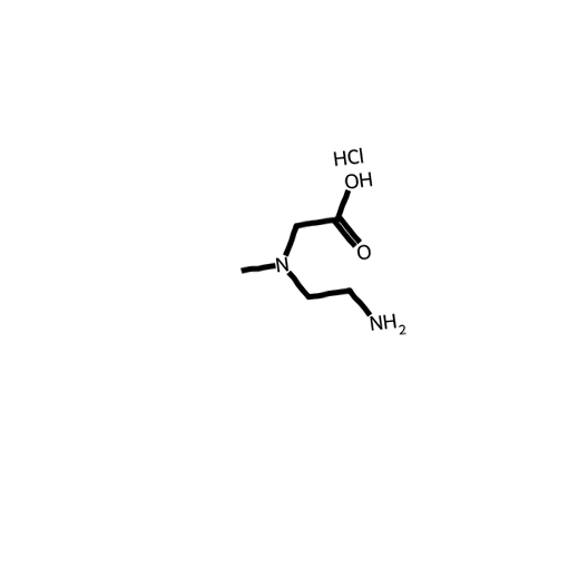 CN(CCN)CC(=O)O.Cl